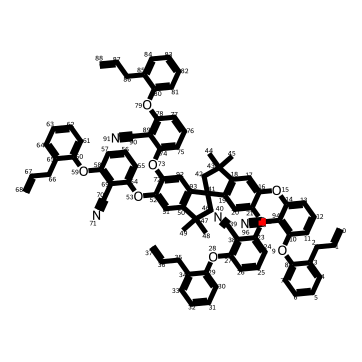 C=CCc1ccccc1Oc1cccc(Oc2cc3c(cc2Oc2cccc(Oc4ccccc4CC=C)c2C#N)C2(CC3(C)C)CC(C)(C)c3cc(Oc4cccc(Oc5ccccc5CC=C)c4C#N)c(Oc4cccc(Oc5ccccc5CC=C)c4C#N)cc32)c1C#N